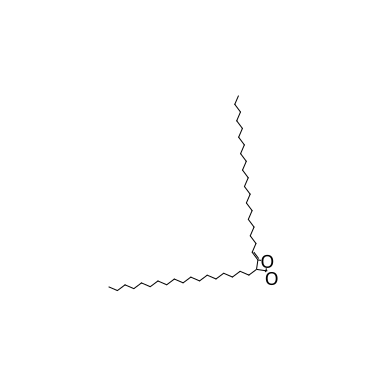 CCCCCCCCCCCCCCCCCCCC=C1OC(=O)C1CCCCCCCCCCCCCCCCCC